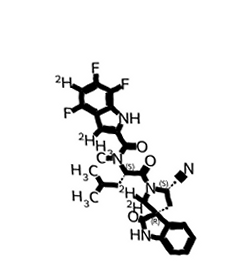 [2H]c1c(F)c(F)c2[nH]c(C(=O)N(C)[C@@H](CC(C)C)C(=O)N3[C@H](C#N)C[C@]4(C(=O)Nc5ccccc54)C3([2H])[2H])c([2H])c2c1F